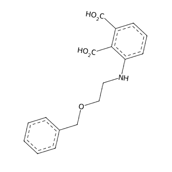 O=C(O)c1cccc(NCCOCc2ccccc2)c1C(=O)O